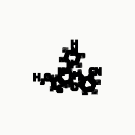 Cc1csc2c(=O)n(Cc3ccccc3C#N)c(N3CCNCC3)nc12